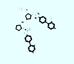 O=S(=O)(N[C@H]1CCC[C@H]1COC1C[C@H](CO)[C@@H](NS(=O)(=O)c2ccc(-c3ccc(F)cc3F)cc2)C1)c1ccc(-c2ccc(F)cc2F)cc1